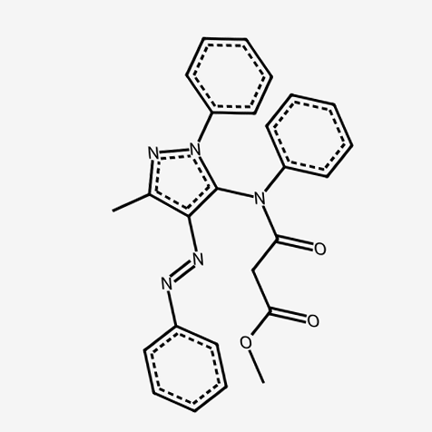 COC(=O)CC(=O)N(c1ccccc1)c1c(N=Nc2ccccc2)c(C)nn1-c1ccccc1